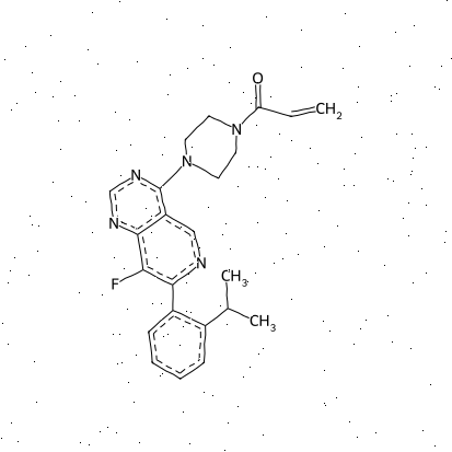 C=CC(=O)N1CCN(c2ncnc3c(F)c(-c4ccccc4C(C)C)ncc23)CC1